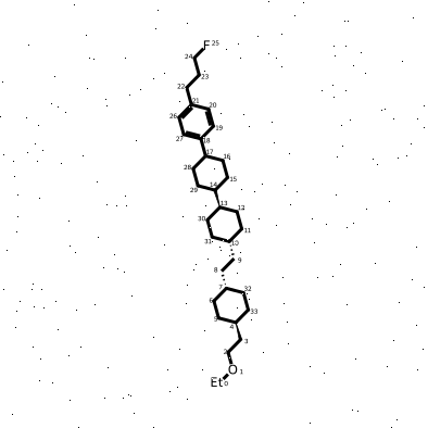 CCOCC[C@H]1CC[C@H](CC[C@H]2CC[C@H](C3CCC(c4ccc(CCCF)cc4)CC3)CC2)CC1